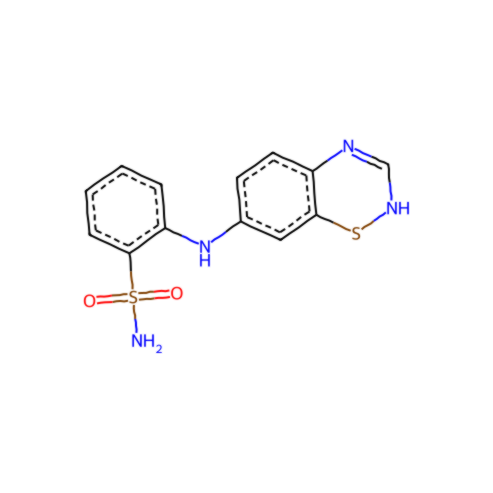 NS(=O)(=O)c1ccccc1Nc1ccc2c(c1)SNC=N2